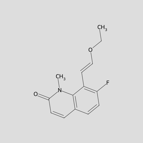 CCO/C=C/c1c(F)ccc2ccc(=O)n(C)c12